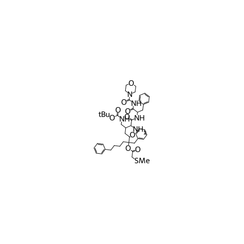 CSCC(=O)OC(CCCCc1ccccc1)(Cc1ccccc1)C(=O)CC(CNC(=O)OC(C)(C)C)C(N)C(=O)NC(Cc1ccccc1)C(=O)NC(=O)N1CCOCC1